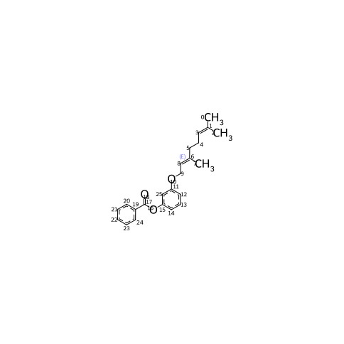 CC(C)=CCC/C(C)=C/COc1cccc(OC(=O)c2ccccc2)c1